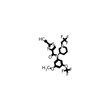 C#Cc1nc(C(=O)N(c2cc(OC)cc(OC(F)(F)F)c2)[C@@H]2CCCN(CC(F)(F)F)C2)cs1